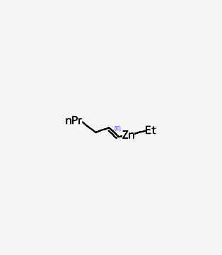 CCCC/C=[CH]/[Zn][CH2]C